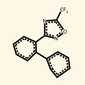 FC(F)(F)c1nc(-c2ccccc2-c2cc[c]cc2)no1